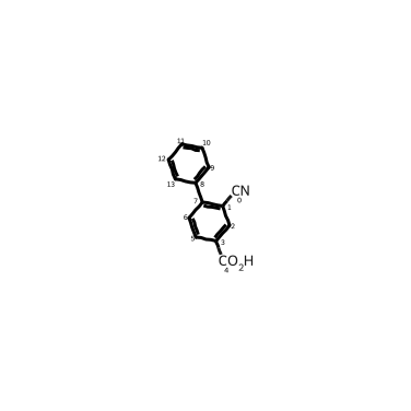 N#Cc1cc(C(=O)O)ccc1-c1ccccc1